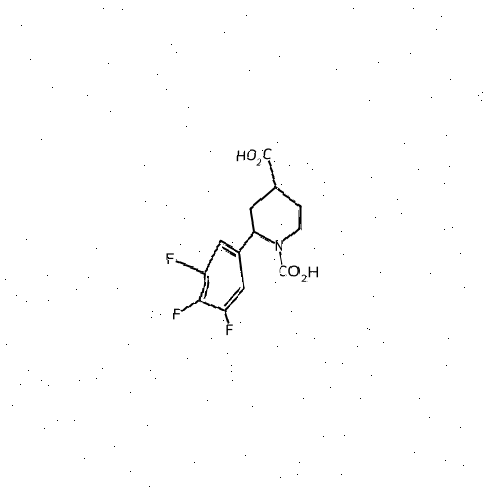 O=C(O)C1CCN(C(=O)O)C(c2cc(F)c(F)c(F)c2)C1